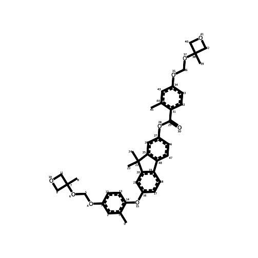 Cc1cc(OCOC2(C)COC2)ccc1Oc1ccc2c(c1)C(C)(C)c1cc(OC(=O)c3ccc(OCOC4(C)COC4)cc3C)ccc1-2